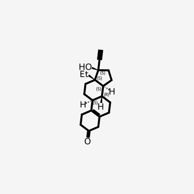 C#C[C@]1(O)CC[C@H]2[C@@H]3CCC4=C(CCC(=O)C4)[C@H]3CC[C@@]21CC